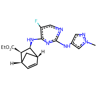 CCOC(=O)[C@H]1[C@@H](Nc2nc(Nc3cnn(C)c3)ncc2F)[C@@H]2C=C[C@H]1C2